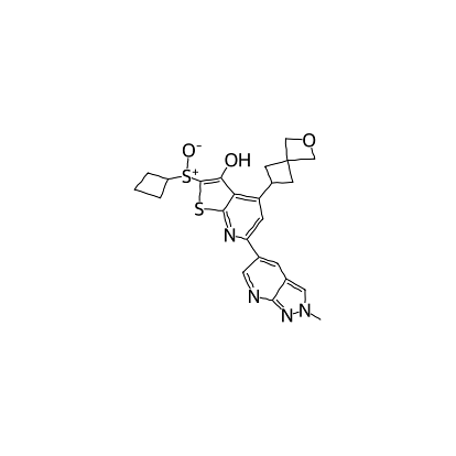 Cn1cc2cc(-c3cc(C4CC5(COC5)C4)c4c(O)c([S+]([O-])C5CCC5)sc4n3)cnc2n1